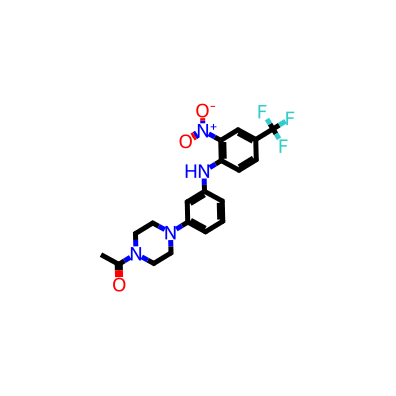 CC(=O)N1CCN(c2cccc(Nc3ccc(C(F)(F)F)cc3[N+](=O)[O-])c2)CC1